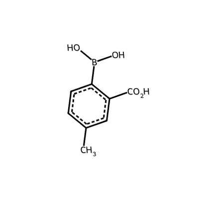 Cc1ccc(B(O)O)c(C(=O)O)c1